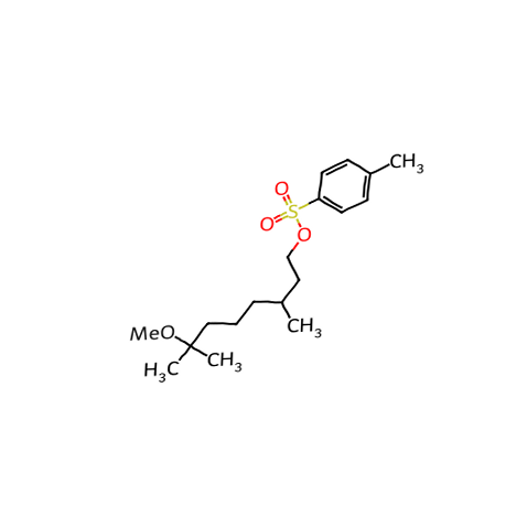 COC(C)(C)CCCC(C)CCOS(=O)(=O)c1ccc(C)cc1